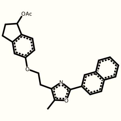 CC(=O)OC1CCc2cc(OCCc3nc(-c4ccc5ccccc5c4)oc3C)ccc21